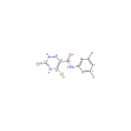 Cc1cc(C)cc(NC(=O)c2cnc(Cl)nc2Cl)c1